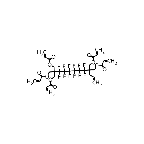 C=CCC(COC(=O)C=C)(COC(=O)C=C)C(F)(F)C(F)(F)C(F)(F)C(F)(F)C(F)(F)C(F)(F)C(COC(=O)C=C)(COC(=O)C=C)COC(=O)C=C